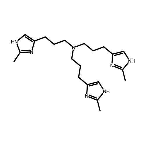 Cc1nc(CCCN(CCCc2c[nH]c(C)n2)CCCc2c[nH]c(C)n2)c[nH]1